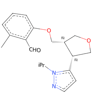 Cc1cccc(OC[C@@H]2COC[C@@H]2c2ccnn2C(C)C)c1C=O